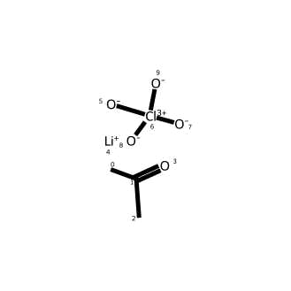 CC(C)=O.[Li+].[O-][Cl+3]([O-])([O-])[O-]